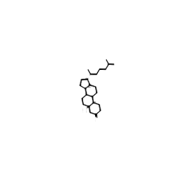 CC(C)CCCC(C)[C@H]1CCC2C3CC[C@@H]4CC(=O)CC[C@]4(C)C3CC[C@@]21C